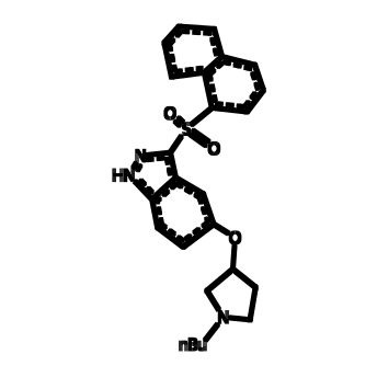 CCCCN1CCC(Oc2ccc3[nH]nc(S(=O)(=O)c4cccc5ccccc45)c3c2)C1